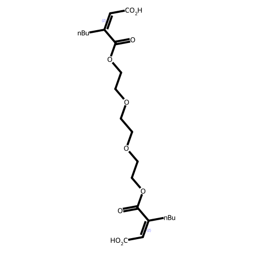 CCCC/C(=C/C(=O)O)C(=O)OCCOCCOCCOC(=O)/C(=C\C(=O)O)CCCC